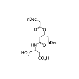 CCCCCCCCCCCC(=O)O[C@H](CCCCCCCCCCC)CC(=O)N[C@H](CC(=O)O)C(=O)O